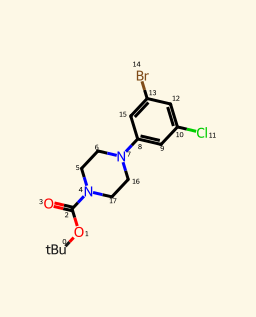 CC(C)(C)OC(=O)N1CCN(c2cc(Cl)cc(Br)c2)CC1